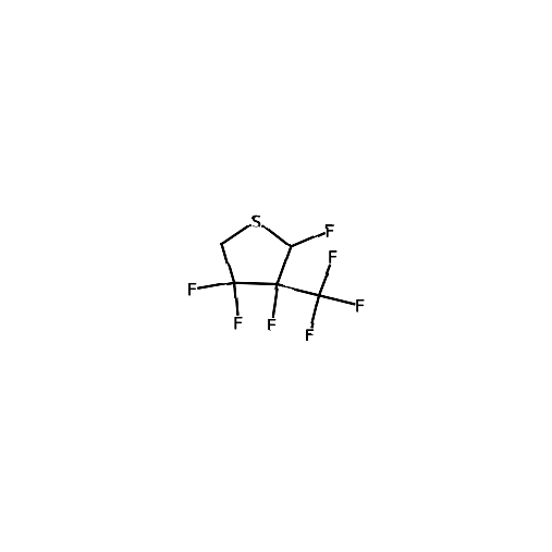 FC1SCC(F)(F)C1(F)C(F)(F)F